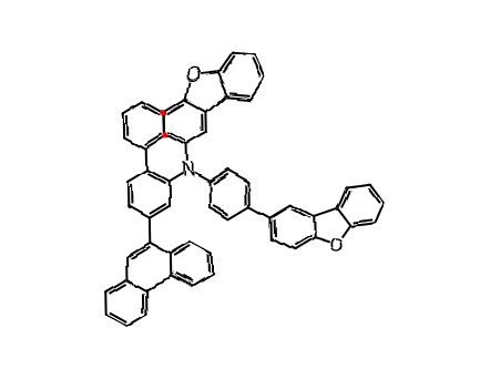 c1ccc(-c2ccc(-c3cc4ccccc4c4ccccc34)cc2N(c2ccc(-c3ccc4oc5ccccc5c4c3)cc2)c2ccc3oc4ccccc4c3c2)cc1